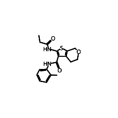 CCC(=O)Nc1sc2c(c1C(=O)Nc1ccccc1C)CCOC2